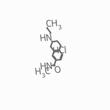 CCCNC1CCc2ccc(C(=O)NC)cc2C1.Cl